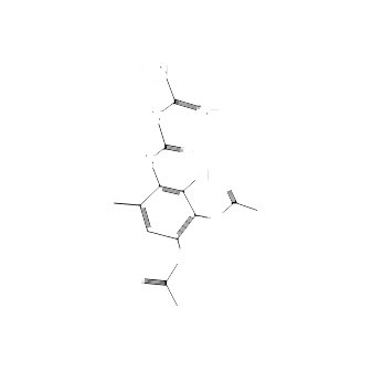 CC(=O)Oc1cc(C)c(NC(=O)NC(=N)N)c(Cl)c1OC(C)=O